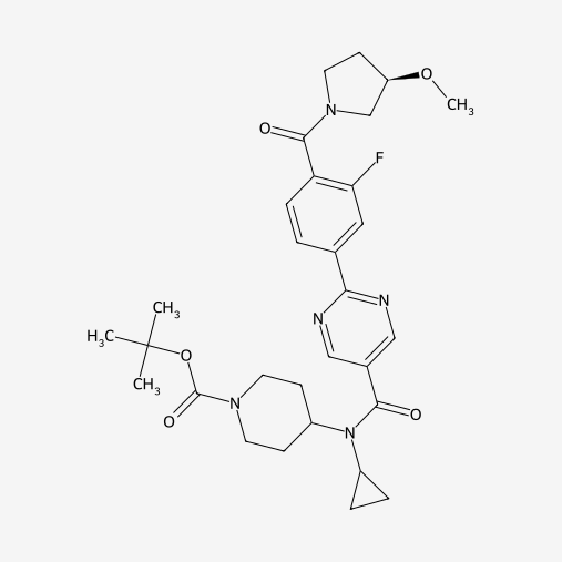 CO[C@@H]1CCN(C(=O)c2ccc(-c3ncc(C(=O)N(C4CC4)C4CCN(C(=O)OC(C)(C)C)CC4)cn3)cc2F)C1